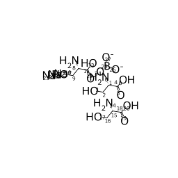 N[C@@H](CO)C(=O)O.N[C@@H](CO)C(=O)O.N[C@@H](CO)C(=O)O.[Na+].[Na+].[Na+].[O-]B([O-])[O-]